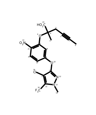 CC#CCC(C)(Oc1cc(Oc2nn(C)c(C(F)(F)F)c2Cl)ccc1[N+](=O)[O-])C(=O)O